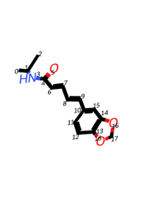 CC(C)NC(=O)/C=C/C=C/c1ccc2c(c1)OCO2